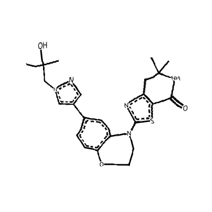 CC(C)(O)Cn1cc(-c2ccc3c(c2)N(c2nc4c(s2)C(=O)NC(C)(C)C4)CCO3)cn1